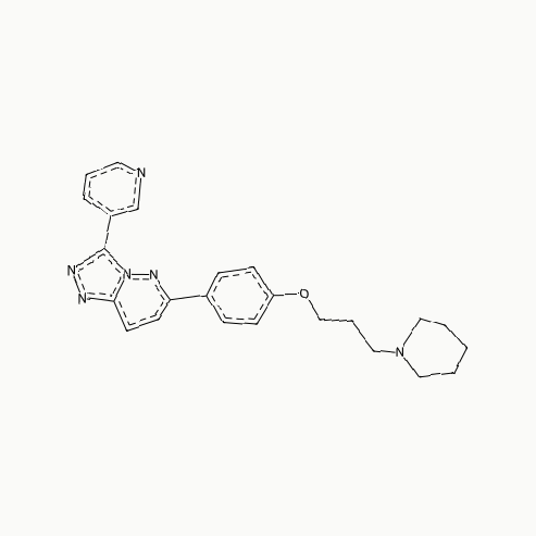 c1cncc(-c2nnc3ccc(-c4ccc(OCCCN5CCCCC5)cc4)nn23)c1